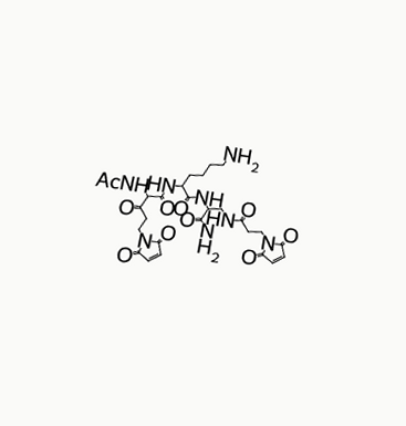 CC(=O)NC(C(=O)CCN1C(=O)C=CC1=O)C(=O)NC(CCCCN)C(=O)NC(CNC(=O)CCN1C(=O)C=CC1=O)C(N)=O